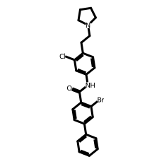 O=C(Nc1ccc(CCN2CCCC2)c(Cl)c1)c1ccc(-c2ccccc2)cc1Br